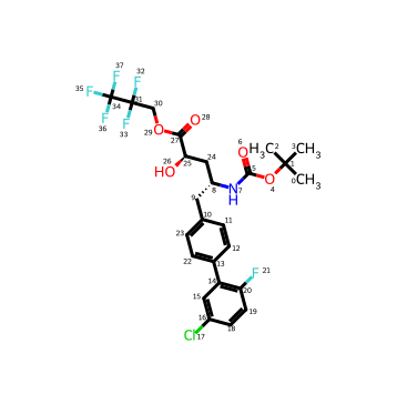 CC(C)(C)OC(=O)N[C@H](Cc1ccc(-c2cc(Cl)ccc2F)cc1)C[C@@H](O)C(=O)OCC(F)(F)C(F)(F)F